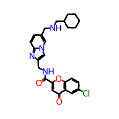 O=C(NCc1cn2cc(CNCC3CCCCC3)ccc2n1)c1cc(=O)c2cc(Cl)ccc2o1